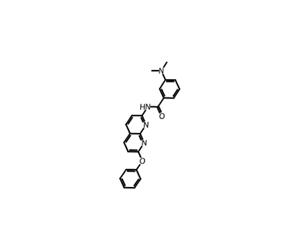 CN(C)c1cccc(C(=O)Nc2ccc3ccc(Oc4ccccc4)nc3n2)c1